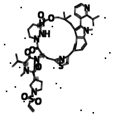 C=CS(=O)(=O)N1CC[C@H](C(=O)N(C)[C@H](C(=O)N[C@H]2Cc3nc(cs3)-c3ccc4c(c3)c(c(-c3cccnc3C(C)C)n4C)CC(C)(C)COC(=O)[C@@H]3CCCN(N3)C2=O)C(C)C)C1